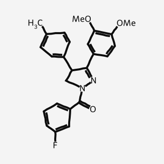 COc1ccc(C2=NN(C(=O)c3cccc(F)c3)CC2c2ccc(C)cc2)cc1OC